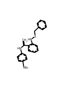 C=C(Nc1ccc(CCCC)cc1)c1ccccc1NSCc1ccccc1